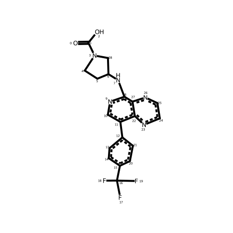 O=C(O)N1CCC(Nc2ncc(-c3ccc(C(F)(F)F)cc3)c3nccnc23)C1